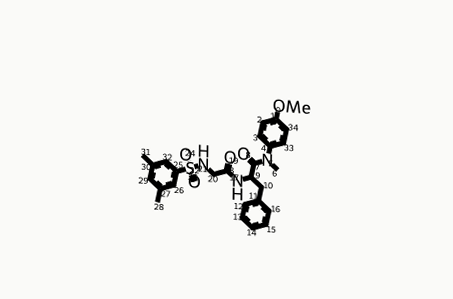 COc1ccc(N(C)C(=O)C(Cc2ccccc2)NC(=O)CNS(=O)(=O)c2cc(C)cc(C)c2)cc1